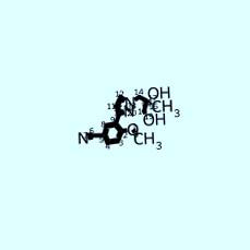 COc1ccc(C#N)cc1-c1[c]cn(C[C@@](C)(O)CO)n1